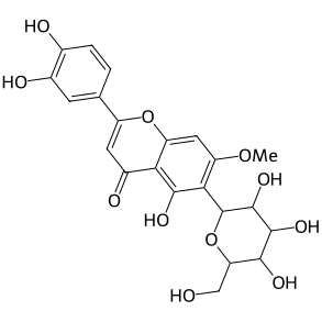 COc1cc2oc(-c3ccc(O)c(O)c3)cc(=O)c2c(O)c1C1OC(CO)C(O)C(O)C1O